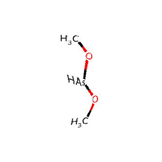 CO[AsH]OC